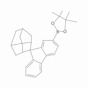 CC1(C)OB(c2ccc3c(c2)C2(c4ccccc4-3)C3CC4CC5CC2C53C4)OC1(C)C